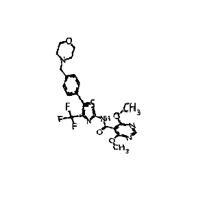 COc1ncnc(OC)c1C(=O)Nc1nc(C(F)(F)F)c(-c2ccc(CN3CCOCC3)cc2)s1